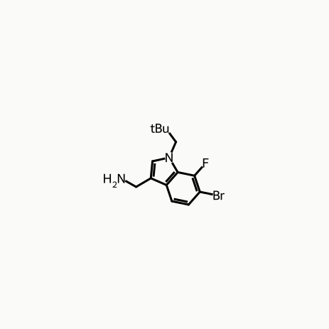 CC(C)(C)Cn1cc(CN)c2ccc(Br)c(F)c21